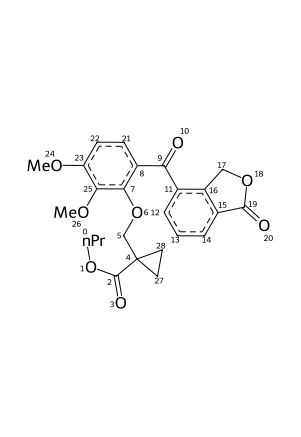 CCCOC(=O)C1(COc2c(C(=O)c3cccc4c3COC4=O)ccc(OC)c2OC)CC1